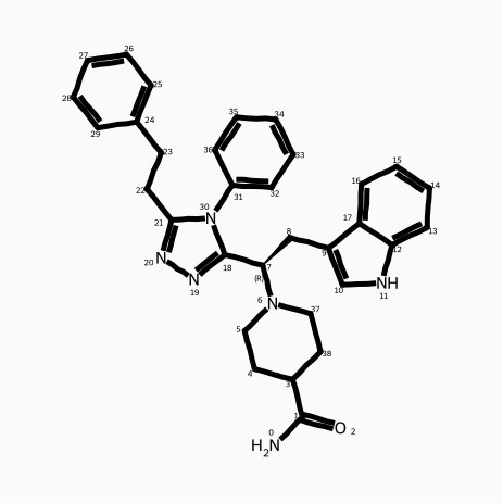 NC(=O)C1CCN([C@H](Cc2c[nH]c3ccccc23)c2nnc(CCc3ccccc3)n2-c2ccccc2)CC1